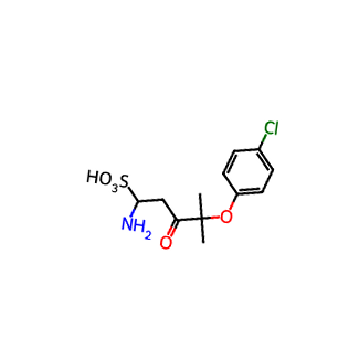 CC(C)(Oc1ccc(Cl)cc1)C(=O)CC(N)S(=O)(=O)O